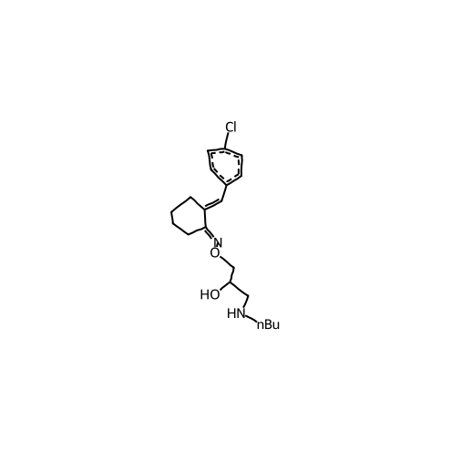 CCCCNCC(O)CON=C1CCCCC1=Cc1ccc(Cl)cc1